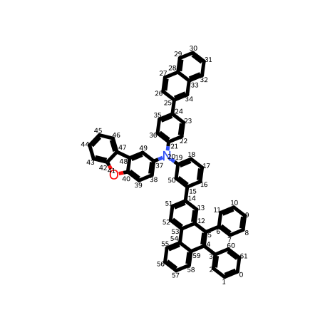 c1ccc(-c2c(-c3ccccc3)c3cc(-c4cccc(N(c5ccc(-c6ccc7ccccc7c6)cc5)c5ccc6oc7ccccc7c6c5)c4)ccc3c3ccccc23)cc1